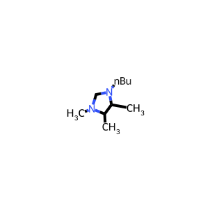 CCCCN1CN(C)C(C)C1C